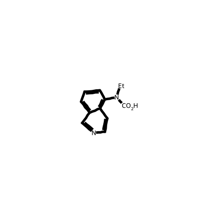 CCN(C(=O)O)c1cccc2cnccc12